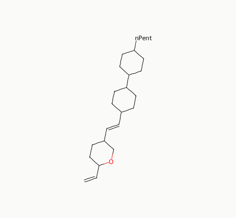 C=CC1CCC(/C=C/C2CCC(C3CCC(CCCCC)CC3)CC2)CO1